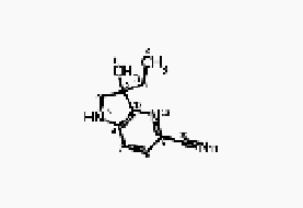 CCC1(C)CNc2ccc(C#N)nc21